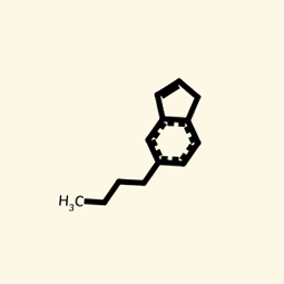 CCCCc1ccc2c(c1)C=CC2